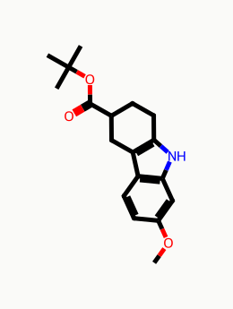 COc1ccc2c3c([nH]c2c1)CCC(C(=O)OC(C)(C)C)C3